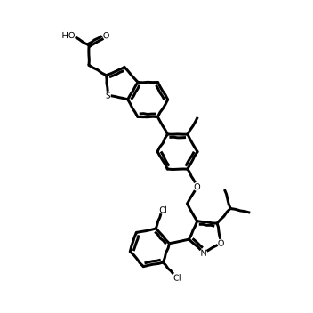 Cc1cc(OCc2c(-c3c(Cl)cccc3Cl)noc2C(C)C)ccc1-c1ccc2cc(CC(=O)O)sc2c1